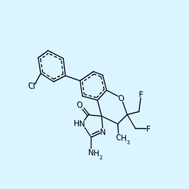 CC1C(CF)(CF)Oc2ccc(-c3cccc(Cl)c3)cc2C12N=C(N)NC2=O